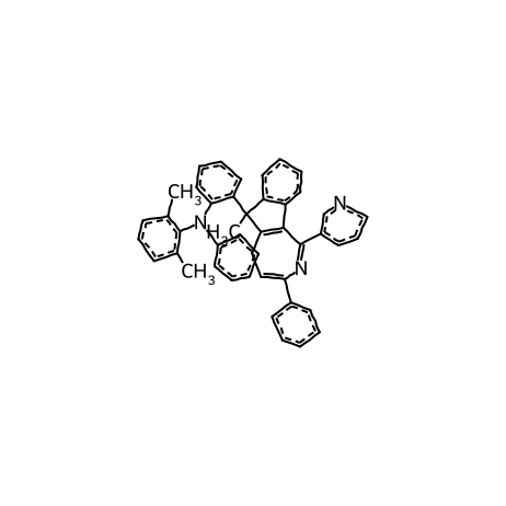 Cc1cccc(C)c1N(c1ccccc1)c1ccccc1C1(C)C2=C(C(c3cccnc3)=NC(c3ccccc3)=CC2)c2ccccc21